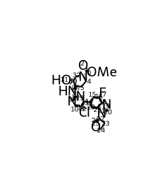 COC(=O)N1CC[C@@H](Nc2ncc(Cl)c(-c3cc(F)c4ncn(C5CCOC5)c4c3)n2)[C@H](O)C1